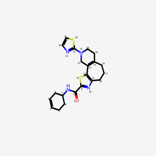 O=C(NC1CC=CCC1)c1nc2c(s1)C1=C(CCC2)CCN(c2nccs2)C1